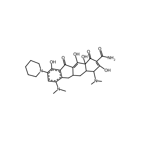 CN(C)c1cc(N2CCCCC2)c(O)c2c1CC1CC3C(N(C)C)C(O)=C(C(N)=O)C(=O)C3(O)C(O)=C1C2=O